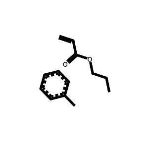 C=CC(=O)OCCC.Cc1ccccc1